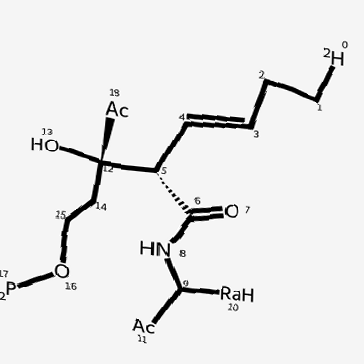 [2H]CC/C=C/[C@H](C(=O)N[CH]([RaH])C(C)=O)[C@@](O)(CCOP)C(C)=O